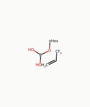 C=CC(F)(F)F.CCCCCCOB(O)O